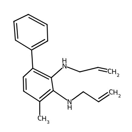 C=CCNc1c(C)ccc(-c2ccccc2)c1NCC=C